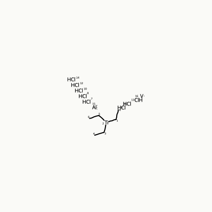 C[CH2][Ti]([CH2]C)[CH2]C.Cl.Cl.Cl.Cl.Cl.Cl.Cl.Cl.[Al].[V]